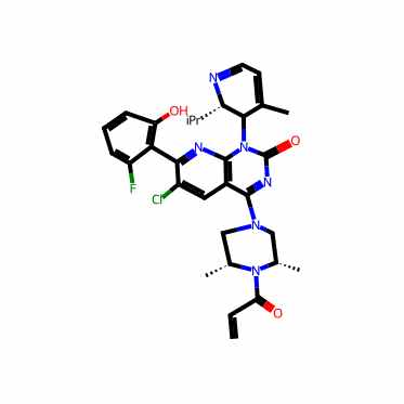 C=CC(=O)N1[C@H](C)CN(c2nc(=O)n(C3C(C)=CC=N[C@H]3C(C)C)c3nc(-c4c(O)cccc4F)c(Cl)cc23)C[C@@H]1C